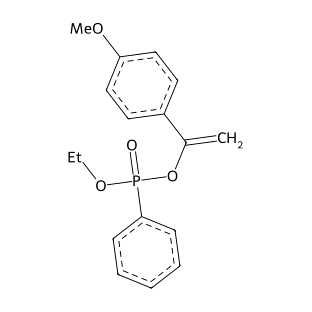 C=C(OP(=O)(OCC)c1ccccc1)c1ccc(OC)cc1